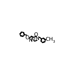 Cc1cccc(CN2CCn3nc(OCc4ccccc4)cc3C2=O)c1